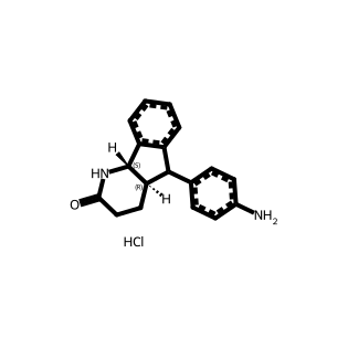 Cl.Nc1ccc(C2c3ccccc3[C@H]3NC(=O)CC[C@H]23)cc1